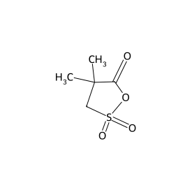 CC1(C)CS(=O)(=O)OC1=O